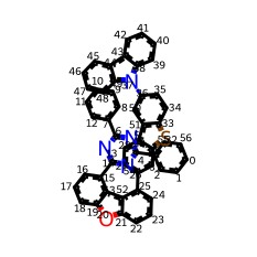 c1ccc(-c2nc(-c3ccccc3)nc(-c3cccc4oc5cccc(-c6ccc7c(c6)sc6ccc(-n8c9ccccc9c9ccccc98)cc67)c5c34)n2)cc1